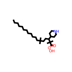 CCCCCCCCCCCCC(C)(C)CCC(C1CCNCC1)C(C)(C)C(=O)OO